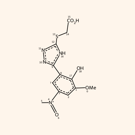 COc1cc([N+](C)=O)cc(-c2nnc(SCC(=O)O)[nH]2)c1O